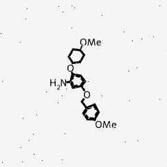 COc1ccc(COc2ccc(O[C@H]3CC[C@H](OC)CC3)c(N)c2)cc1